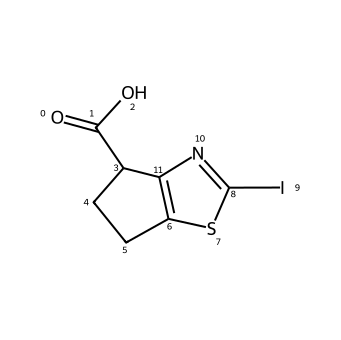 O=C(O)C1CCc2sc(I)nc21